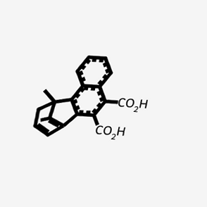 CC1=C2C=CCC1(C)c1c2c(C(=O)O)c(C(=O)O)c2ccccc12